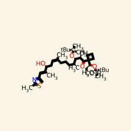 C/C(=C/C[C@H](O)/C(C)=C/c1csc(C)n1)CCC[C@H](C)[C@H](O[Si](C)(C)C(C)(C)C)[C@@H](C)C(=O)C1([C@H](CC(=O)O)O[Si](C)(C)C(C)(C)C)CCC1